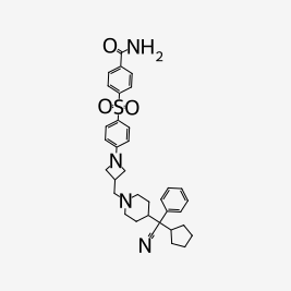 N#CC(c1ccccc1)(C1CCCC1)C1CCN(CC2CN(c3ccc(S(=O)(=O)c4ccc(C(N)=O)cc4)cc3)C2)CC1